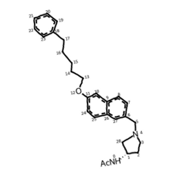 CC(=O)N[C@H]1CCN(Cc2ccc3cc(OCCCCCc4ccccc4)ccc3c2)C1